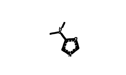 C[SH](C)c1cnco1